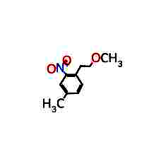 COCCc1ccc(C)cc1[N+](=O)[O-]